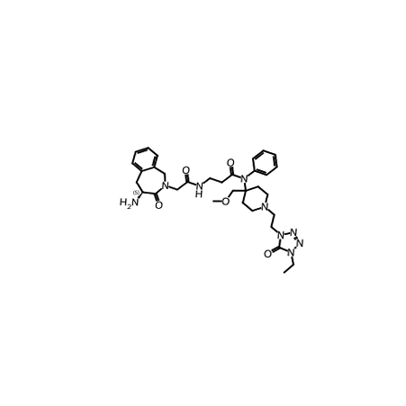 CCn1nnn(CCN2CCC(COC)(N(C(=O)CCNC(=O)CN3Cc4ccccc4C[C@H](N)C3=O)c3ccccc3)CC2)c1=O